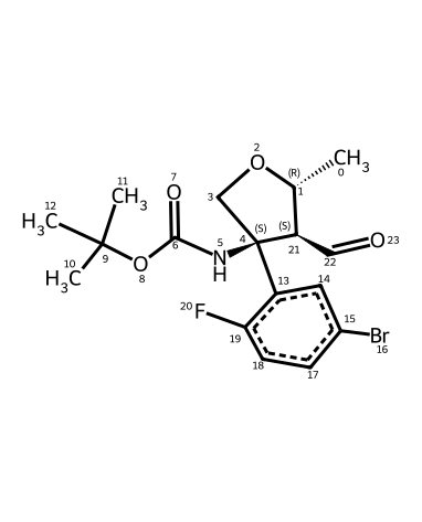 C[C@H]1OC[C@@](NC(=O)OC(C)(C)C)(c2cc(Br)ccc2F)[C@@H]1C=O